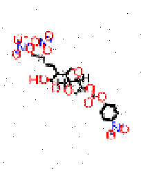 O=C(Oc1ccc([N+](=O)[O-])cc1)O[C@H]1CO[C@H]2[C@H]1OC[C@@H]2C(CC[C@H](CO[N+](=O)[O-])O[N+](=O)[O-])C(=O)O